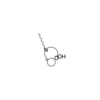 CCCCCCCCCN1CCCCCCCC(O)OC2CCCCCCCC3(CC2)CC3CCC1